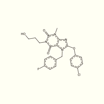 Cn1c(=O)n(CCCO)c(=O)c2c1nc(Oc1ccc(Cl)cc1)n2Cc1ccc(F)cc1